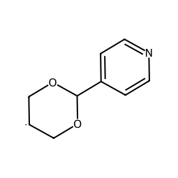 [CH]1COC(c2ccncc2)OC1